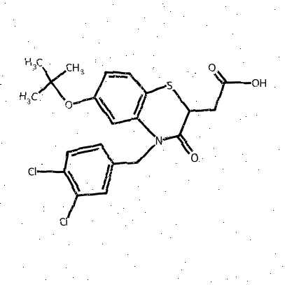 CC(C)(C)Oc1ccc2c(c1)N(Cc1ccc(Cl)c(Cl)c1)C(=O)C(CC(=O)O)S2